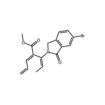 C=C/C=C(C(=O)OC)\C(=C/C)N1Cc2ccc(Br)cc2C1=O